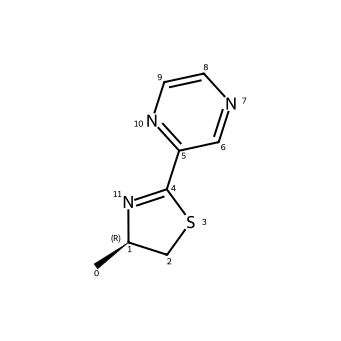 C[C@@H]1CSC(c2cnccn2)=N1